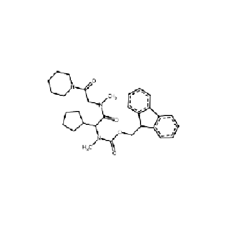 CN(CC(=O)N1CCCCC1)C(=O)C(C1CCCC1)N(C)C(=O)OCC1c2ccccc2-c2ccccc21